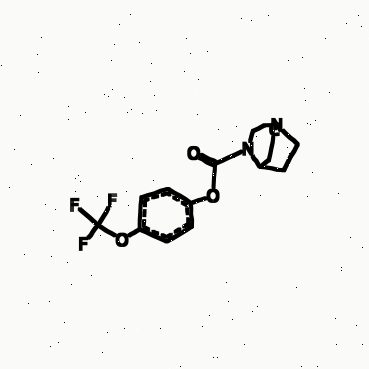 O=C(Oc1ccc(OC(F)(F)F)cc1)N1CCN2CCC1CC2